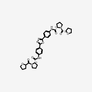 O=C(Nc1ccc(-c2nnc(-c3ccc(NC(=O)[C@@H]4CCCN4C(=O)[C@@H]4CCCO4)cc3)o2)cc1)[C@@H]1CCCN1C(=O)C1CCCO1